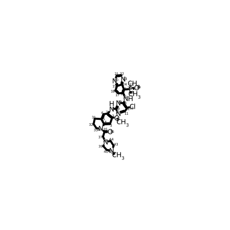 COc1cc2c(cc1Nc1ncc(Cl)c(Nc3ccc4nccnc4c3P(C)(C)=O)n1)CCCN2C(=O)CN1CCN(C)CC1